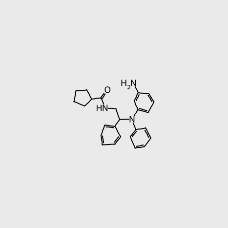 Nc1cccc(N(c2ccccc2)C(CNC(=O)C2CCCC2)c2ccccc2)c1